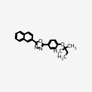 [CH2]CC(C)(C)Oc1ccc(-c2nnc(-c3ccc4ccccc4c3)o2)cc1